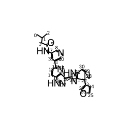 CC(C)CC(=O)Nc1cncc(-c2ccc3[nH]nc(-c4nc5c(-c6ccoc6)nccc5[nH]4)c3n2)c1